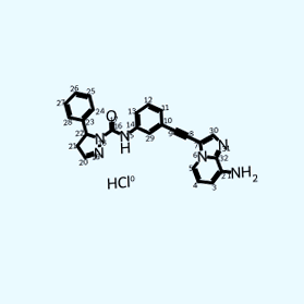 Cl.Nc1cccn2c(C#Cc3cccc(NC(=O)N4N=CCC4c4ccccc4)c3)cnc12